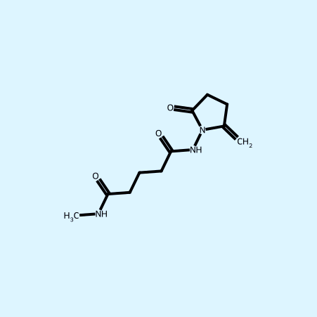 C=C1CCC(=O)N1NC(=O)CCCC(=O)NC